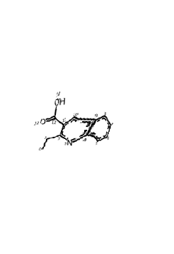 CCc1nc2ccccc2cc1C(=O)O